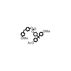 COc1ccc(Cc2ccc(OC(=O)OC3CCC(C(C)(c4ccc(OC)cc4)c4ccc(OC(C)=O)cc4)CC3)cc2)cc1